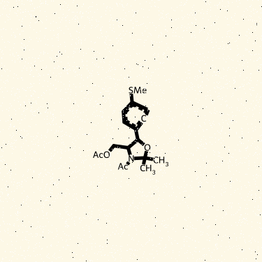 CSc1ccc(C2OC(C)(C)N(C(C)=O)C2COC(C)=O)cc1